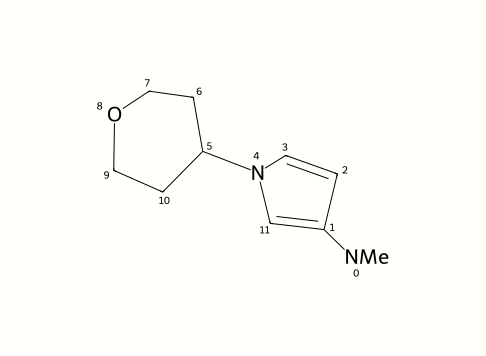 CNc1ccn(C2CCOCC2)c1